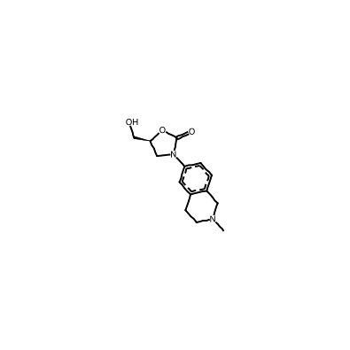 CN1CCc2cc(N3C[C@@H](CO)OC3=O)ccc2C1